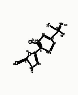 O=c1[nH]nc(-c2ncc(C(F)(F)F)cc2Cl)o1